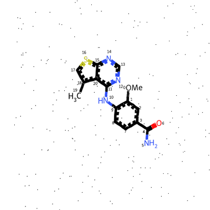 COc1cc(C(N)=O)ccc1Nc1ncnc2scc(C)c12